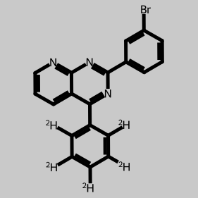 [2H]c1c([2H])c([2H])c(-c2nc(-c3cccc(Br)c3)nc3ncccc23)c([2H])c1[2H]